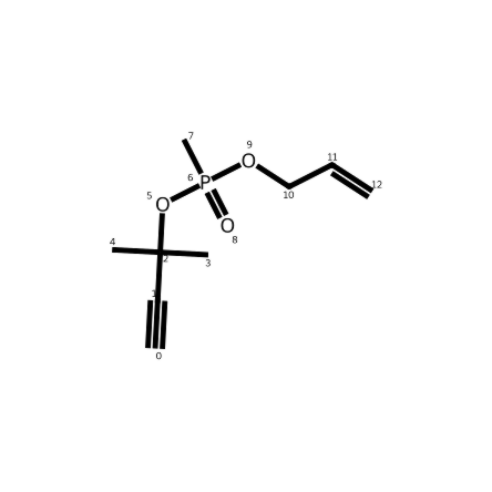 C#CC(C)(C)OP(C)(=O)OCC=C